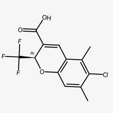 Cc1cc2c(c(C)c1Cl)C=C(C(=O)O)[C@H](C(F)(F)F)O2